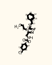 C=CCn1c(CNS(=O)(=O)c2ccc(Cl)cc2)nnc1SCc1ccccc1